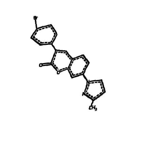 Cc1ccn(-c2ccc3cc(-c4ccc(Br)cc4)c(=O)oc3c2)n1